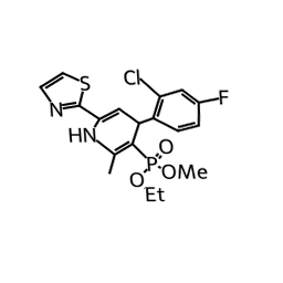 CCOP(=O)(OC)C1=C(C)NC(c2nccs2)=CC1c1ccc(F)cc1Cl